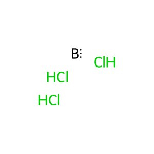 Cl.Cl.Cl.[B]